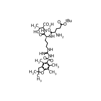 Cc1c(C)c(S(=O)(=O)NC(=N)NCCC[C@H](NC(=O)[C@@H](N)CCC(=O)OC(C)(C)C)C(=O)N[C@H](C(=O)O)[C@@H](C)O)c(C)c2c1OC(C)(C)C2